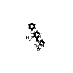 Cc1c(Oc2ccccc2)ccnc1Cn1ccnc1[N+](=O)[O-]